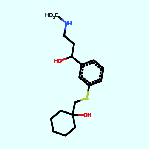 O=C(O)NCCC(O)c1cccc(SCC2(O)CCCCC2)c1